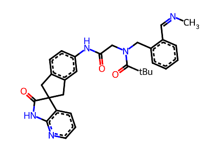 C/N=C\c1ccccc1CN(CC(=O)Nc1ccc2c(c1)CC1(C2)C(=O)Nc2ncccc21)C(=O)C(C)(C)C